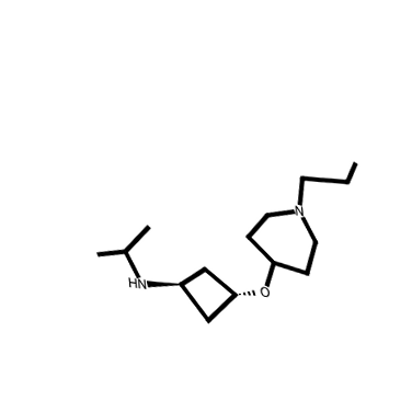 CCCN1CCC(O[C@H]2C[C@H](NC(C)C)C2)CC1